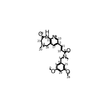 COc1cc(CN(C)C(=O)C=Cc2cnc3c(c2)CN(C)CC(=O)N3)cc(OC)c1